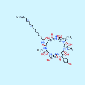 CCCCC/C=C/C/C=C/CCCCCCCC(=O)NC1C[C@@H](O)[C@@H](O)NC(=O)[C@@H]2[C@@H](O)[C@@H](C)CN2C(=O)[C@H]([C@@H](C)O)NC(=O)[C@H]([C@H](O)[C@@H](O)c2ccc(O)cc2)NC(=O)[C@@H]2C[C@@H](O)CN2C(=O)[C@H]([C@@H](C)O)NC1=O